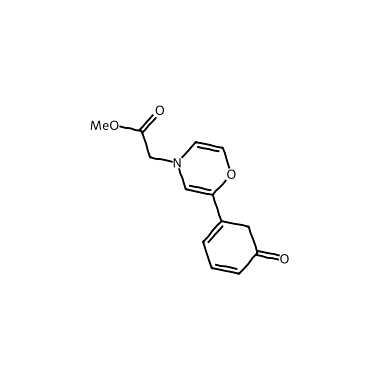 COC(=O)CN1C=COC(C2=CC=CC(=O)C2)=C1